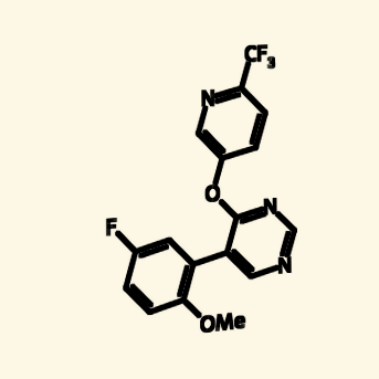 COc1ccc(F)cc1-c1cncnc1Oc1ccc(C(F)(F)F)nc1